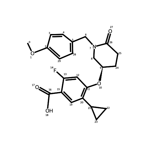 COc1ccc(CN2C[C@H](Oc3cc(F)c(C(=O)O)cc3C3CC3)CCC2=O)cc1